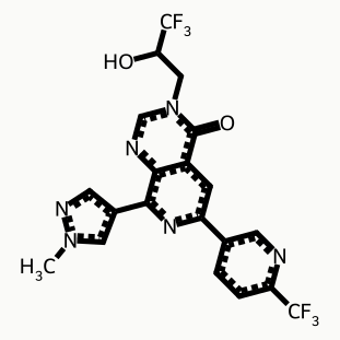 Cn1cc(-c2nc(-c3ccc(C(F)(F)F)nc3)cc3c(=O)n(CC(O)C(F)(F)F)cnc23)cn1